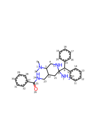 CN(C)C1CNC(N)(C(c2ccccc2)c2ccccc2)CC1CNC(=O)c1ccccc1